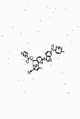 Cc1ccc(Nc2ccc3c(c2)ncn3-c2ccc([C@H](C)OC(=O)n3ccnc3)c(-n3nc(C#N)cc3C)n2)nn1